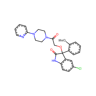 COc1ccccc1C1(OCC(=O)N2CCN(c3ccccn3)CC2)C(=O)Nc2ccc(Cl)cc21